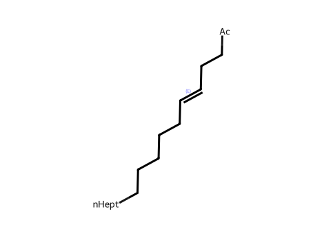 CCCCCCCCCCCC/C=C/CCC(C)=O